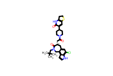 CC(C)(C)CN1Cc2c(cc(Cl)c3[nH]ccc23)C[C@@H](CC(=O)N2CCC(c3cc4c([nH]c3=O)CCS4)CC2)C1=O